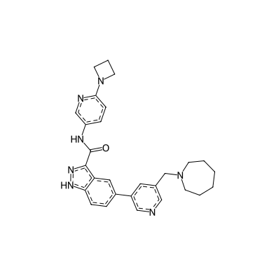 O=C(Nc1ccc(N2CCC2)nc1)c1n[nH]c2ccc(-c3cncc(CN4CCCCCC4)c3)cc12